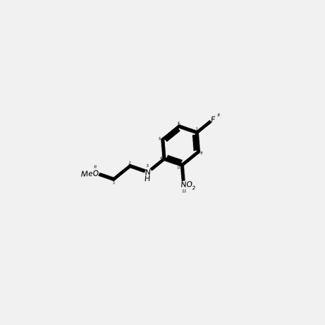 COCCNc1ccc(F)cc1[N+](=O)[O-]